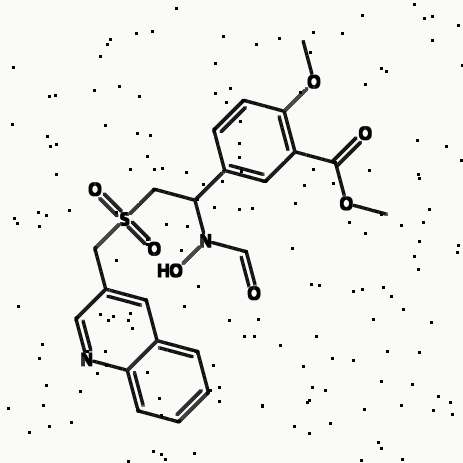 COC(=O)c1cc(C(CS(=O)(=O)Cc2cnc3ccccc3c2)N(O)C=O)ccc1OC